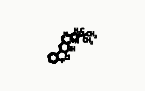 CC(C)(C)c1cc2ncc3c(n2n1)NC(Cl)C(c1ccccc1F)=C3